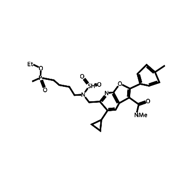 CCOP(C)(=O)CCCCN(Cc1nc2oc(-c3ccc(C)cc3)c(C(=O)NC)c2cc1C1CC1)[SH](=O)=O